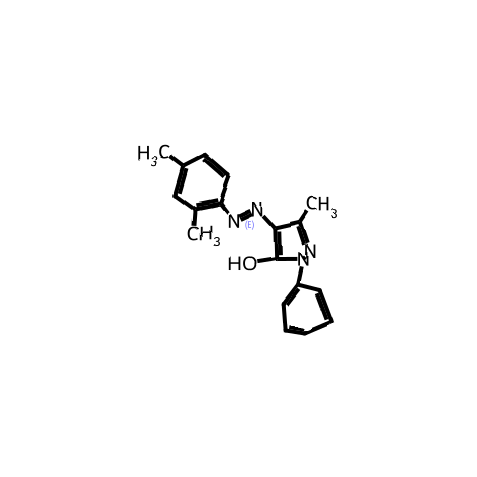 Cc1ccc(/N=N/c2c(C)nn(-c3ccccc3)c2O)c(C)c1